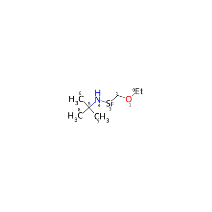 CCOC[Si]NC(C)(C)C